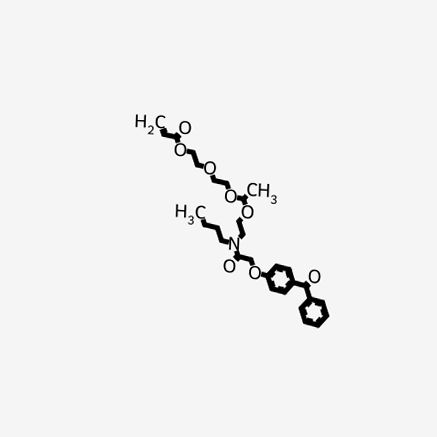 C=CC(=O)OCCOCCOC(C)OCCN(CCCC)C(=O)COc1ccc(C(=O)c2ccccc2)cc1